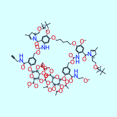 C#CCNC(=O)c1cc(COC(=O)Nc2cc(OCCCCCOc3cc(NC(=O)OCc4ccc(O[C@@H]5O[C@H](C(=O)OC)C(OC(C)=O)[C@H](OC(C)=O)[C@H]5OC(C)=O)c(C(=O)NCCOC)c4)c(C(=O)N4C=C(C)C[C@H]4CCO[Si](C)(C)C(C)(C)C)cc3OC)c(OC)cc2C(=O)N2C=C(C)C[C@H]2CO[Si](C)(C)C(C)(C)C)ccc1O[C@@H]1O[C@H](C(=O)OC)[C@@H](OC(C)=O)C(OC(C)=O)[C@H]1OC(C)=O